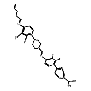 C=CCCCOc1ccc(C2CCC(COc3ccc(-c4ccc(C(O)CCC)cc4)c(F)c3F)CC2)c(F)c1F